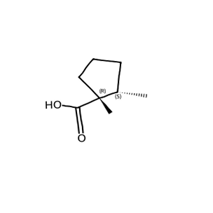 C[C@H]1CCC[C@@]1(C)C(=O)O